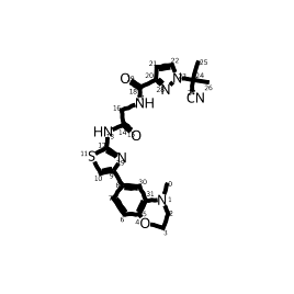 CN1CCOc2ccc(-c3csc(NC(=O)CNC(=O)c4ccn(C(C)(C)C#N)n4)n3)cc21